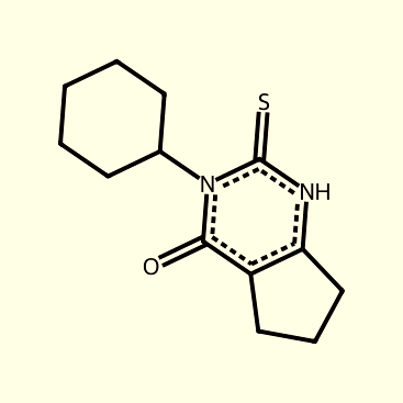 O=c1c2c([nH]c(=S)n1C1CCCCC1)CCC2